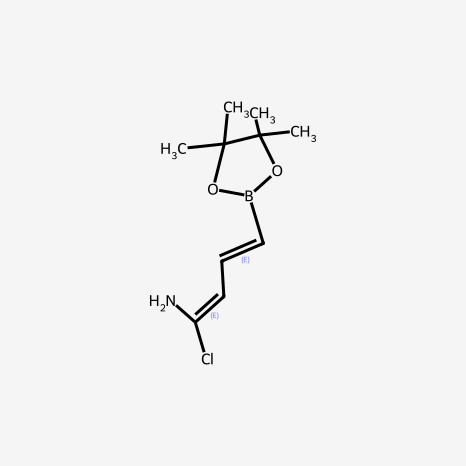 CC1(C)OB(/C=C/C=C(\N)Cl)OC1(C)C